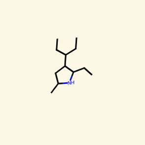 CCC(CC)C1CC(C)NC1CC